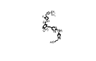 Cc1ccc(C(=O)Nc2ccc(CN3CC[C@@H](N(C)C)C3)c(F)c2)cc1C#Cc1cnc(Nc2cnn(CCCO)c2)nc1